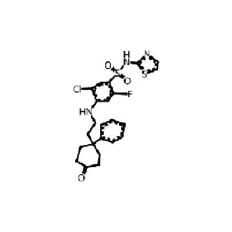 O=C1CCC(CCNc2cc(F)c(S(=O)(=O)Nc3nccs3)cc2Cl)(c2ccccc2)CC1